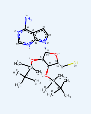 CC(C)(C)[Si](C)(C)O[C@@H]1[C@H](O[Si](C)(C)C(C)(C)C)[C@@H](CS)O[C@H]1n1ccc2c(N)ncnc21